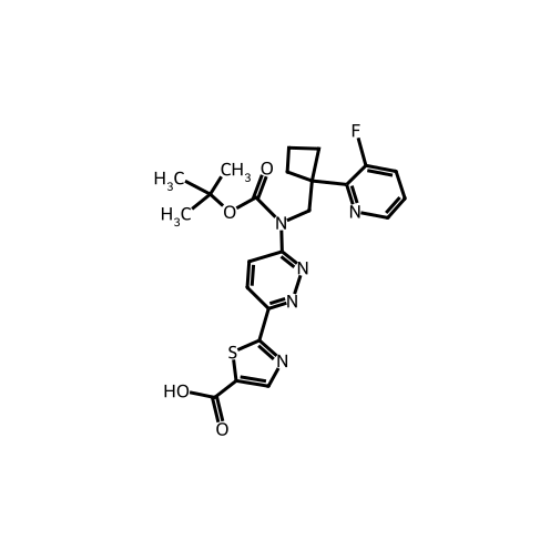 CC(C)(C)OC(=O)N(CC1(c2ncccc2F)CCC1)c1ccc(-c2ncc(C(=O)O)s2)nn1